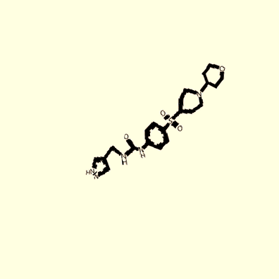 O=C(NCc1cn[nH]c1)Nc1ccc(S(=O)(=O)C2CCN(C3CCOCC3)CC2)cc1